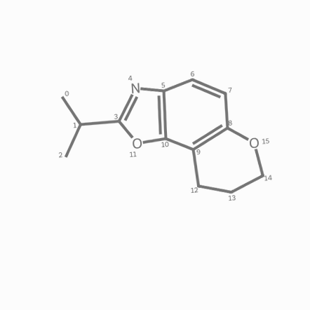 CC(C)c1nc2ccc3c(c2o1)CCCO3